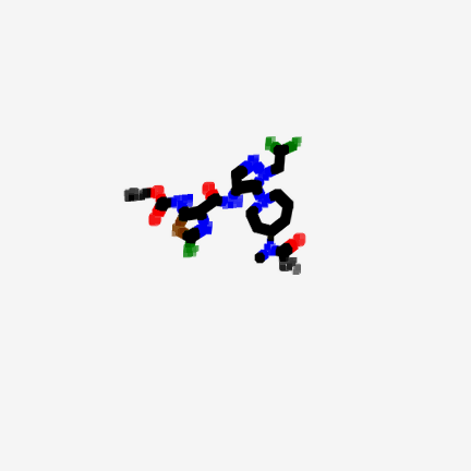 CN(C(=O)C(F)(F)F)[C@H]1CCCN(c2c(NC(=O)c3nc(Br)sc3NC(=O)OC(C)(C)C)cnn2CC(F)F)CC1